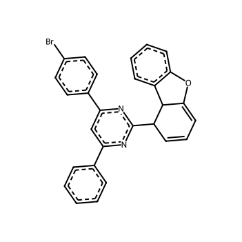 Brc1ccc(-c2cc(-c3ccccc3)nc(C3C=CC=C4Oc5ccccc5C43)n2)cc1